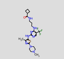 Cc1nc(N2CCN(C)CC2)sc1Nc1ncc(C(F)(F)F)c(NCCCNC(=O)C2CCC2)n1